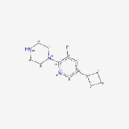 Cc1cc(C2CCC2)cnc1N1CCNCC1